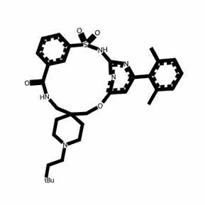 Cc1cccc(C)c1-c1cc2nc(n1)NS(=O)(=O)c1cccc(c1)C(=O)NCC1(CCN(CCC(C)(C)C)CC1)CO2